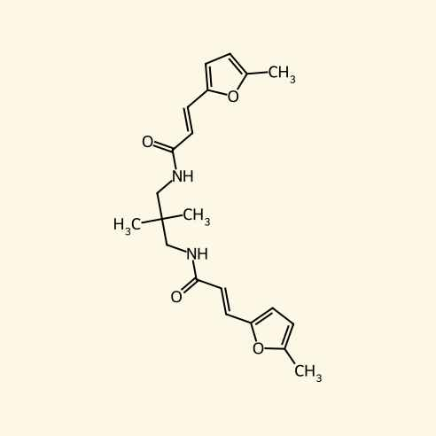 Cc1ccc(/C=C/C(=O)NCC(C)(C)CNC(=O)/C=C/c2ccc(C)o2)o1